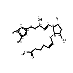 COC(=O)CCC/C=C\C[C@H]1C(O)C[C@@H](C)[C@@H]1/C=C/[C@@H](O)CCc1cc(Br)c(C)s1